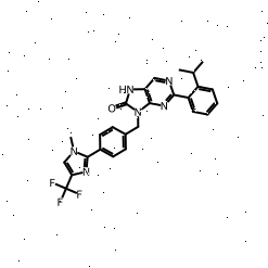 CC(C)c1ccccc1-c1ncc2[nH]c(=O)n(Cc3ccc(-c4nc(C(F)(F)F)cn4C)cc3)c2n1